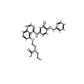 CCCN(CCOc1cccc2ncnc(Nc3ccc(OCc4ccccn4)c(Cl)c3)c12)C(C)=O